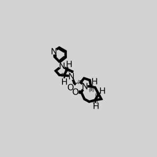 O=C([C@@H]1CC[C@@H]2C[C@H]3C[C@@H]3CCC(=O)N21)N1C[C@@H]2[C@H]1CCN2c1cccnc1